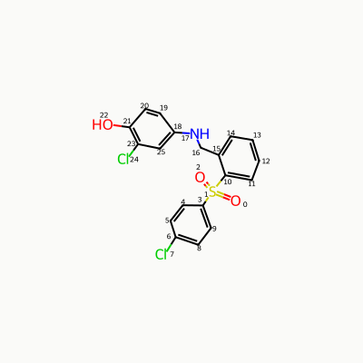 O=S(=O)(c1ccc(Cl)cc1)c1ccccc1CNc1ccc(O)c(Cl)c1